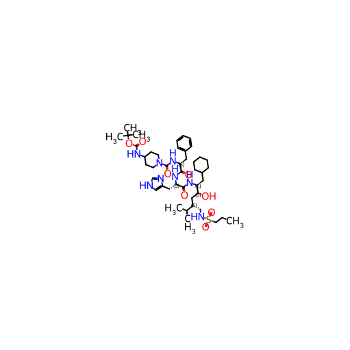 CCCS(=O)(=O)NC[C@@H](C[C@H](O)[C@H](CC1CCCCC1)NC(=O)[C@H](Cc1c[nH]cn1)NC(=O)[C@H](Cc1ccccc1)NC(=O)N1CCC(NC(=O)OC(C)(C)C)CC1)C(C)C